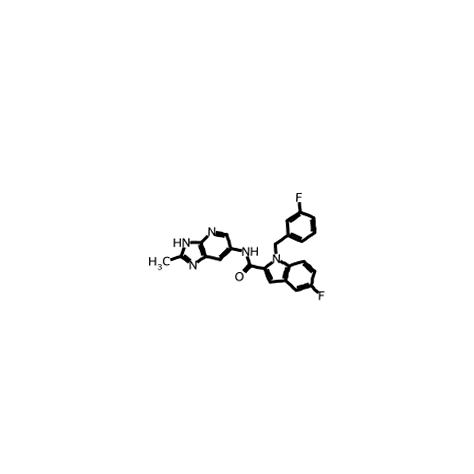 Cc1nc2cc(NC(=O)c3cc4cc(F)ccc4n3Cc3cccc(F)c3)cnc2[nH]1